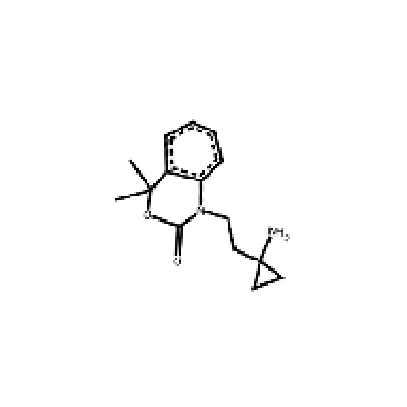 CC1(C)OC(=O)N(CCC2(N)CC2)c2ccccc21